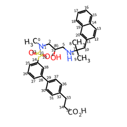 CN(C[C@H](O)CNC(C)(C)Cc1ccc2ccccc2c1)S(=O)(=O)c1cccc(-c2ccc(CCC(=O)O)cc2)c1